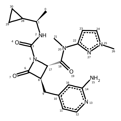 C[C@@H](NC(=O)N1C(=O)[C@H](Cc2ccnc(N)c2)[C@H]1C(=O)N(C)c1ccn(C)n1)C1CC1